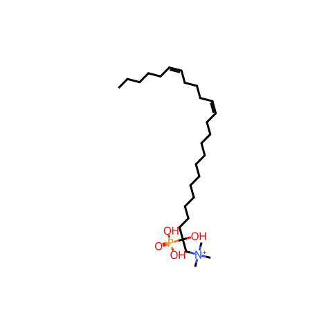 CCCCC/C=C\CCC/C=C\CCCCCCCCCCCC(O)(C[N+](C)(C)C)P(=O)(O)O